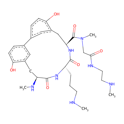 CNCCC[C@@H]1NC(=O)[C@@H](NC)Cc2cc(ccc2O)-c2ccc(O)c(c2)C[C@@H](C(=O)N(C)CC(=O)NCCNC)NC1=O